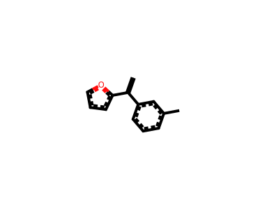 C=C(c1cccc(C)c1)c1ccco1